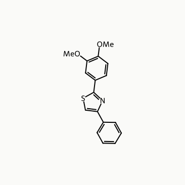 COc1ccc(-c2nc(-c3ccccc3)cs2)cc1OC